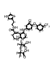 O=C(NCCc1c[nH]cn1)C1=Cc2c(ncnc2Nc2ccc(Oc3cccc(C(F)(F)F)c3)c(Cl)c2)NCC1.O=C(O)C(F)(F)F.O=C(O)C(F)(F)F